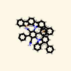 N#Cc1c(-c2ccccc2)c(C#N)c(-n2c3c(ccc4c5ccccc5sc43)c3ccc4c5ccccc5sc4c32)c(-c2ccccc2)c1-n1c2ccccc2c2c(-c3ccccc3)cccc21